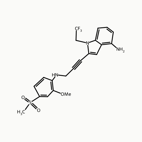 COc1cc(S(C)(=O)=O)ccc1NCC#Cc1cc2c(N)cccc2n1CC(F)(F)F